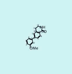 COc1cccc(-c2ccc3c(c2)CCNC3=O)c1